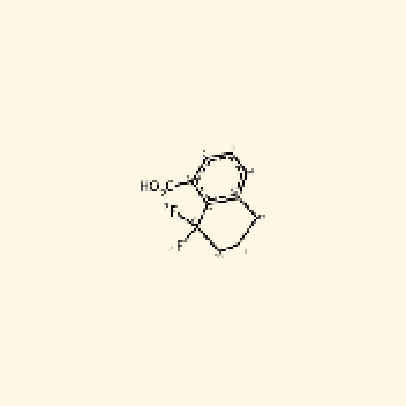 O=C(O)c1cccc2c1C(F)(F)CCC2